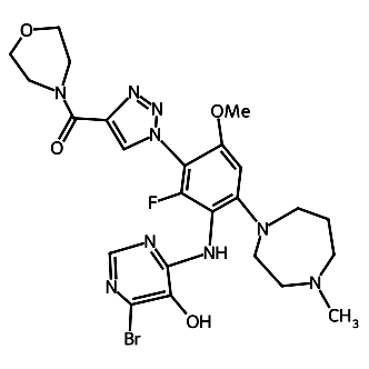 COc1cc(N2CCCN(C)CC2)c(Nc2ncnc(Br)c2O)c(F)c1-n1cc(C(=O)N2CCOCC2)nn1